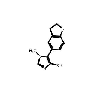 Cn1cnc(C#N)c1-c1ccc2c(c1)CCO2